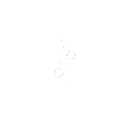 CC(NCc1c(O)ccc2c1CN1CN2Cc2c1ccc(O)c2CNC(C)C(C)(C)C)C(C)(C)C